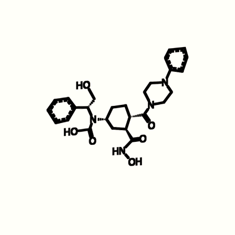 O=C(NO)[C@H]1C[C@H](N(C(=O)O)[C@@H](CO)c2ccccc2)CC[C@@H]1C(=O)N1CCN(c2ccccc2)CC1